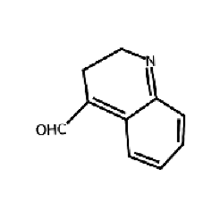 O=CC1=c2ccccc2=NCC1